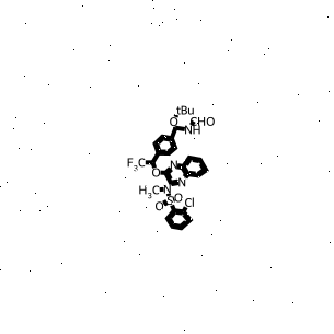 CN(c1nc2ccccc2nc1OC(c1ccc(C(NC=O)OC(C)(C)C)cc1)C(F)(F)F)S(=O)(=O)c1ccccc1Cl